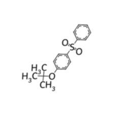 CC(C)(C)Oc1ccc(S(=O)(=O)c2ccccc2)cc1